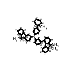 CC1(c2ccc(N(c3cccc(-c4cccc5c4-c4ccccc4C5(C)C)c3)c3ccc4c(c3)-c3ccccc3C4(C)C)cc2)C=CC=CC1